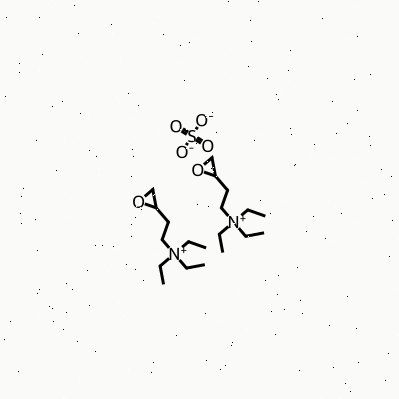 CC[N+](CC)(CC)CCC1CO1.CC[N+](CC)(CC)CCC1CO1.O=S(=O)([O-])[O-]